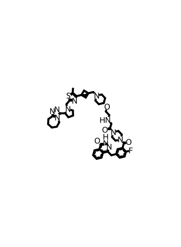 Cc1sc(CN2CCCC2c2nnc3n2CCCCC3)nc1C12CC(CN3CCC(OCCNCC(=O)N4CCN(C(=O)c5cc(Cc6n[nH]c(=O)c7ccccc67)ccc5F)CC4)CC3)(C1)C2